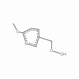 COc1ccc(COO)cn1